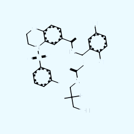 O=C(C[C@H](NC(=O)c1ccc2c(c1)N(S(=O)(=O)c1cccc(Cl)c1)CCO2)c1cc(C(F)(F)F)ccc1Cl)NCC(F)(F)CO